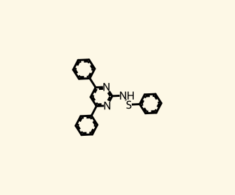 c1ccc(SNc2nc(-c3ccccc3)cc(-c3ccccc3)n2)cc1